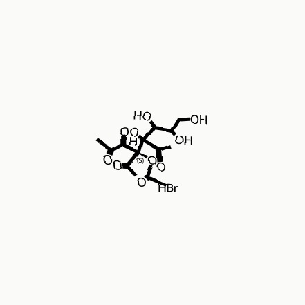 Br.CC(=O)O[C@@](C(C)=O)(C(=O)C(C)=O)C(O)(C(C)=O)C(O)C(O)CO